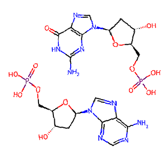 Nc1nc2c(ncn2[C@H]2C[C@H](O)[C@@H](COP(=O)(O)O)O2)c(=O)[nH]1.Nc1ncnc2c1ncn2[C@H]1C[C@H](O)[C@@H](COP(=O)(O)O)O1